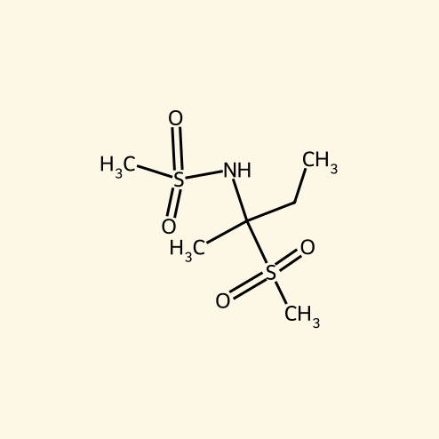 CCC(C)(NS(C)(=O)=O)S(C)(=O)=O